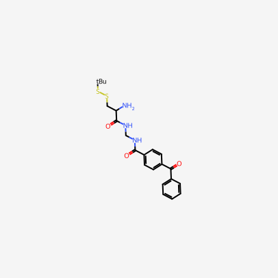 CC(C)(C)SSCC(N)C(=O)NCNC(=O)c1ccc(C(=O)c2ccccc2)cc1